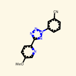 COc1ccc(-c2nnn(-c3cccc(C#N)c3)n2)nc1